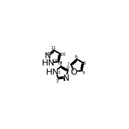 c1c[nH]cn1.c1ccoc1.c1cn[nH]c1